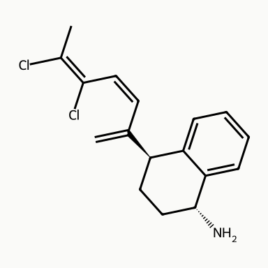 C=C(/C=C\C(Cl)=C(/C)Cl)[C@@H]1CC[C@@H](N)c2ccccc21